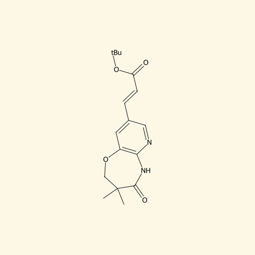 CC(C)(C)OC(=O)C=Cc1cnc2c(c1)OCC(C)(C)C(=O)N2